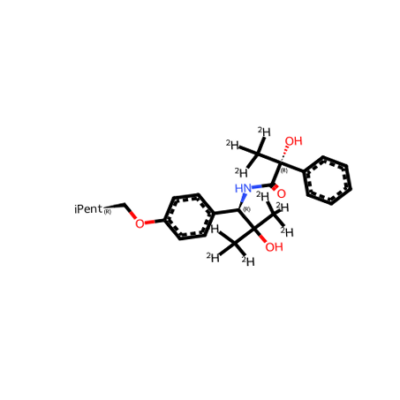 [2H]C([2H])([2H])C(O)([C@H](NC(=O)[C@](O)(c1ccccc1)C([2H])([2H])[2H])c1ccc(OC[C@H](C)CCC)cc1)C([2H])([2H])[2H]